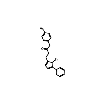 CCC1C(CCC(=O)Cc2ccc(C(C)=O)cc2)=CC=C1c1ccccc1